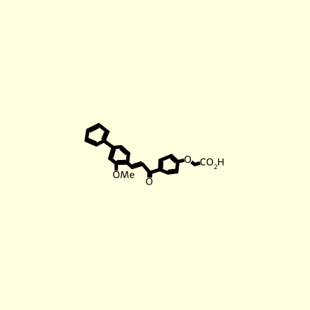 COc1cc(-c2ccccc2)ccc1/C=C/C(=O)c1ccc(OCC(=O)O)cc1